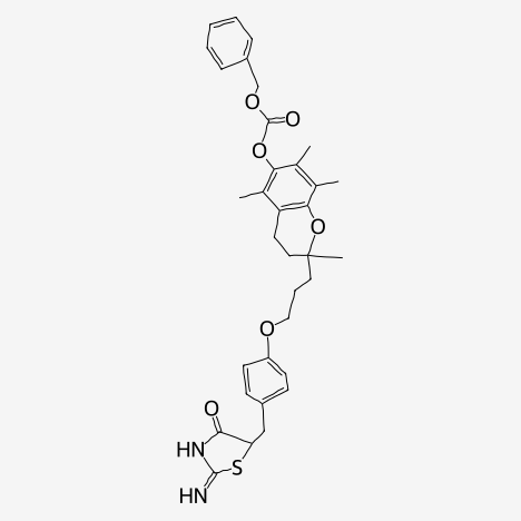 Cc1c(C)c2c(c(C)c1OC(=O)OCc1ccccc1)CCC(C)(CCCOc1ccc(CC3SC(=N)NC3=O)cc1)O2